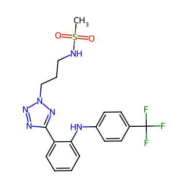 CS(=O)(=O)NCCCn1nnc(-c2ccccc2Nc2ccc(C(F)(F)F)cc2)n1